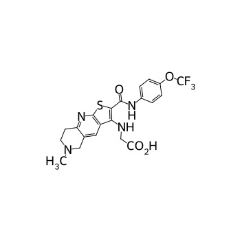 CN1CCc2nc3sc(C(=O)Nc4ccc(OC(F)(F)F)cc4)c(NCC(=O)O)c3cc2C1